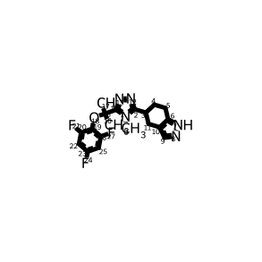 Cn1c(C2CCc3[nH]ncc3C2)nnc1C(C)(C)Oc1c(F)cc(F)cc1F